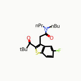 CCCCN(CCC)C(=O)Cc1c(C(=O)C(C)(C)C)sc2ccc(F)cc12